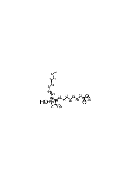 CCCCCCC#C[C@H]1[C@H](O)CC(=O)[C@@H]1CCCCCCCC(=O)OC